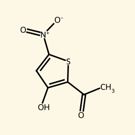 CC(=O)c1sc([N+](=O)[O-])cc1O